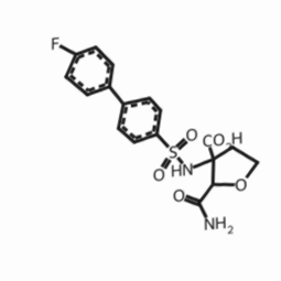 NC(=O)C1OCCC1(NS(=O)(=O)c1ccc(-c2ccc(F)cc2)cc1)C(=O)O